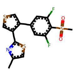 Cc1csc(-c2cscc2-c2cc(F)c(S(C)(=O)=O)c(F)c2)n1